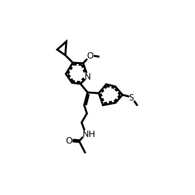 COc1nc(/C(=C/CCNC(C)=O)c2ccc(SC)cc2)ccc1C1CC1